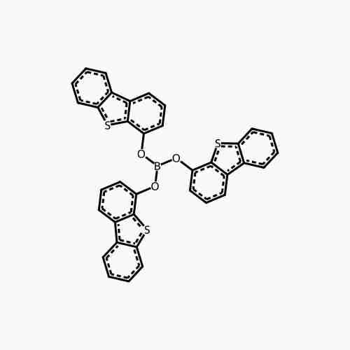 c1ccc2c(c1)sc1c(OB(Oc3cccc4c3sc3ccccc34)Oc3cccc4c3sc3ccccc34)cccc12